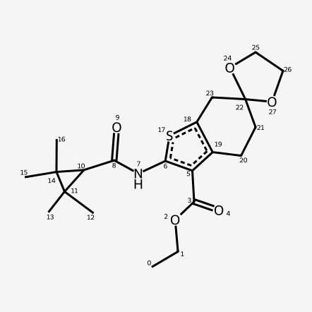 CCOC(=O)c1c(NC(=O)C2C(C)(C)C2(C)C)sc2c1CCC1(C2)OCCO1